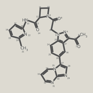 CC(=O)c1nn(CC(=O)N2CCC2C(=O)Nc2cccc(C)n2)c2ccc(-c3cnc4ncccn34)cc12